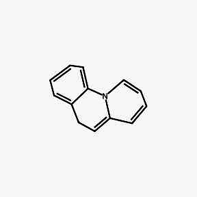 C1=CC2=CCc3ccccc3N2C=C1